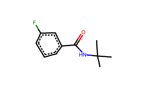 CC(C)(C)NC(=O)c1cccc(F)c1